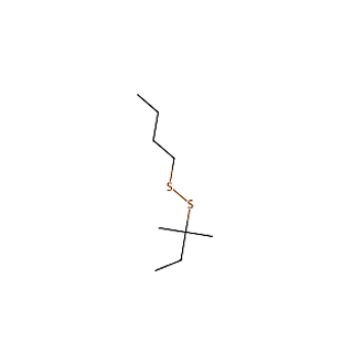 CCCCSSC(C)(C)CC